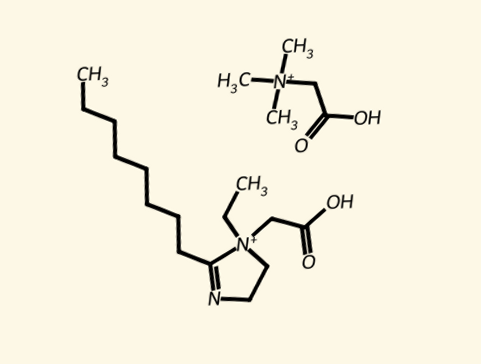 CCCCCCCCC1=NCC[N+]1(CC)CC(=O)O.C[N+](C)(C)CC(=O)O